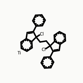 ClC1(CCC2(Cl)C(c3ccccc3)=Cc3ccccc32)C(c2ccccc2)=Cc2ccccc21.[Ti]